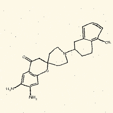 N#Cc1cccc2c1CCC(N1CCC3(CC1)CC(=O)c1cc(N)c(N)cc1O3)C2